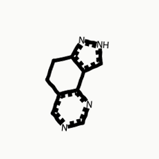 c1ncc2c(n1)-c1c[nH]nc1CC2